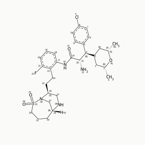 C[C@@H]1CC([C@H](c2ccc(Cl)cc2)[C@H](N)C(=O)Nc2cccc(F)c2CC[C@H]2CN[C@@H]3CCCS(=O)(=O)N2C3)C[C@H](C)O1